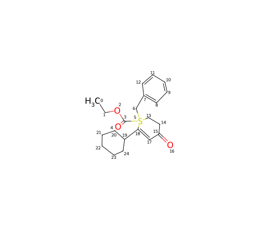 CCOC(=O)S1(Cc2ccccc2)CCC(=O)C=C1C1CCCCC1